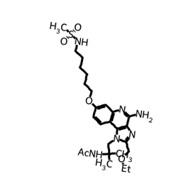 CCOCc1nc2c(N)nc3cc(OCCCCCCNS(C)(=O)=O)ccc3c2n1CC(C)(C)NC(C)=O